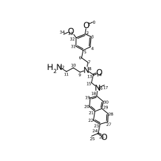 COc1ccc(CCN(CCCN)C(=O)CN(C)c2ccc3cc(C(C)=O)ccc3c2)cc1OC